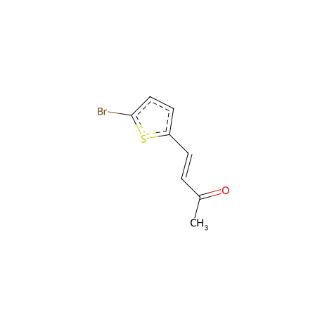 CC(=O)/C=C/c1ccc(Br)s1